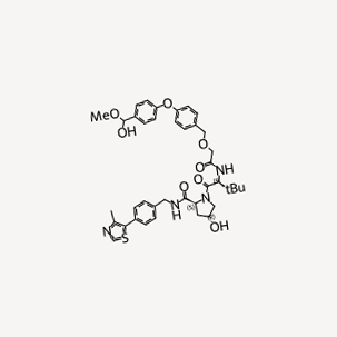 COC(O)c1ccc(Oc2ccc(COCC(=O)N[C@H](C(=O)N3C[C@H](O)C[C@H]3C(=O)NCc3ccc(-c4scnc4C)cc3)C(C)(C)C)cc2)cc1